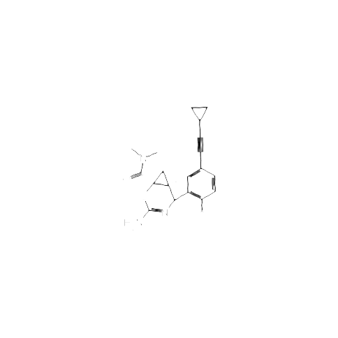 CN(C)C(=O)[C@]12C[C@H]1[C@@](C)(c1cc(C#CC3CC3)ccc1F)N=C(N)S2